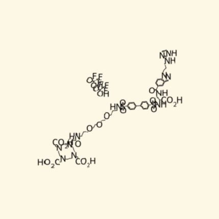 O=C(O)C(F)(F)F.O=C(O)C(F)(F)F.O=C(O)CN1CCN(CC(=O)O)CCN(CC(=O)NCCCOCCOCCOCCCNS(=O)(=O)c2ccc(-c3ccc(S(=O)(=O)NC(CNC(=O)c4ccc5c(cnn5CCCNc5ncc[nH]5)c4)C(=O)O)cc3)cc2)CCN(CC(=O)O)CC1